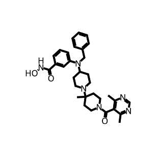 Cc1ncnc(C)c1C(=O)N1CCC(C)(N2CCC(N(Cc3ccccc3)c3cccc(C(=O)NO)c3)CC2)CC1